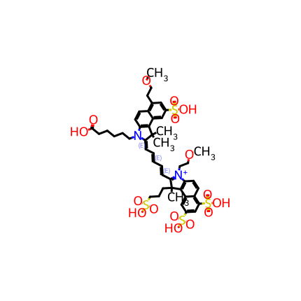 COCCc1cc(S(=O)(=O)O)cc2c3c(ccc12)N(CCCCCC(=O)O)/C(=C/C=C/C=C/C1=[N+](CCOC)c2ccc4c(S(=O)(=O)O)cc(S(=O)(=O)O)cc4c2C1(C)CCCS(=O)(=O)O)C3(C)C